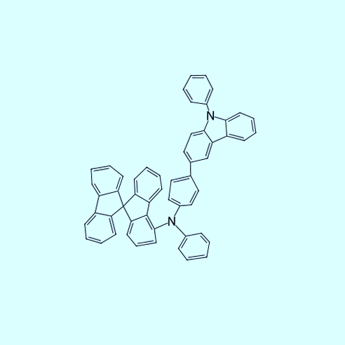 c1ccc(N(c2ccc(-c3ccc4c(c3)c3ccccc3n4-c3ccccc3)cc2)c2cccc3c2-c2ccccc2C32c3ccccc3-c3ccccc32)cc1